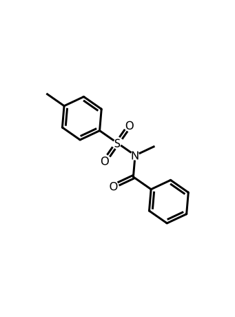 Cc1ccc(S(=O)(=O)N(C)C(=O)c2ccccc2)cc1